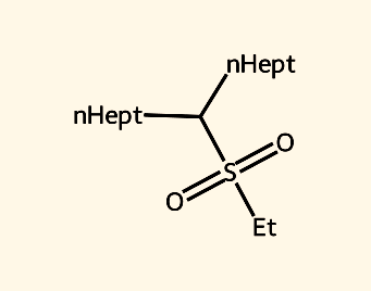 CCCCCCCC(CCCCCCC)S(=O)(=O)CC